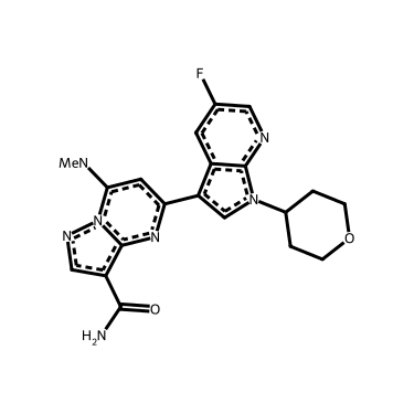 CNc1cc(-c2cn(C3CCOCC3)c3ncc(F)cc23)nc2c(C(N)=O)cnn12